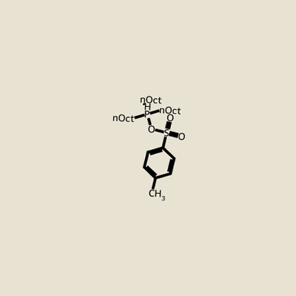 CCCCCCCC[PH](CCCCCCCC)(CCCCCCCC)OS(=O)(=O)c1ccc(C)cc1